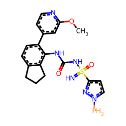 COc1cc(-c2ccc3c(c2NC(=O)NS(=N)(=O)c2ccn(P)n2)CCC3)ccn1